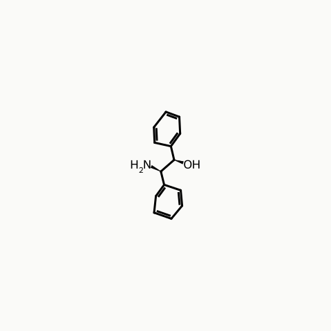 N[C@H](c1ccccc1)[C@H](O)c1ccccc1